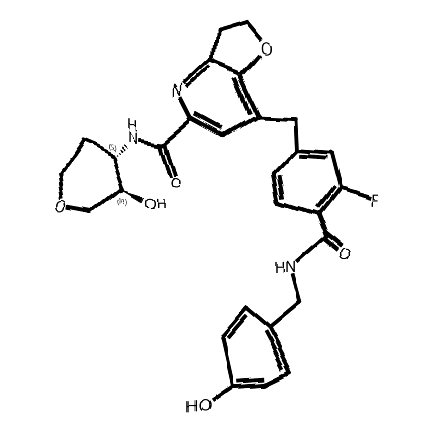 O=C(N[C@H]1CCOC[C@@H]1O)c1cc(Cc2ccc(C(=O)NCc3ccc(O)cc3)c(F)c2)c2c(n1)CCO2